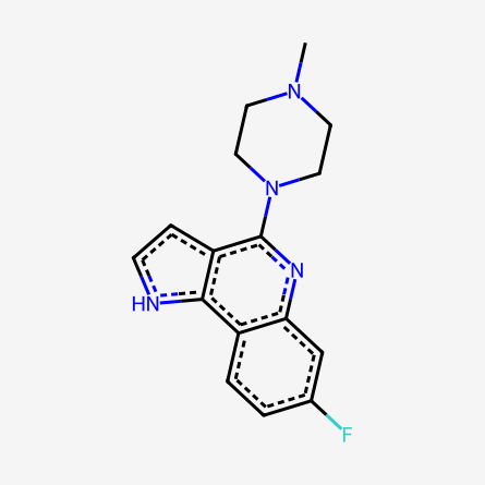 CN1CCN(c2nc3cc(F)ccc3c3[nH]ccc23)CC1